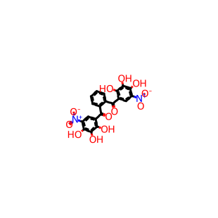 O=C(c1ccccc1C(=O)c1cc([N+](=O)[O-])c(O)c(O)c1O)c1cc([N+](=O)[O-])c(O)c(O)c1O